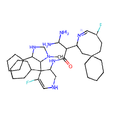 CN1CNC(C2CCCC2)C1C1(C2CCCCC2)C(F)=CNCC1NC(=O)C(C(N)N)C1CC2(CCCCC2)CCC(F)/C=N\1